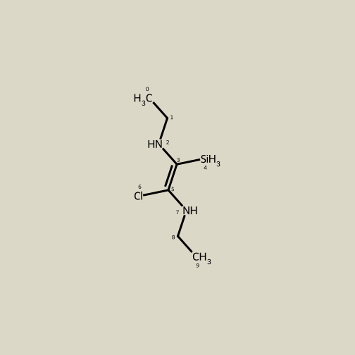 CCNC([SiH3])=C(Cl)NCC